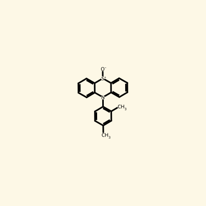 Cc1ccc(N2c3ccccc3[S+]([O-])c3ccccc32)c(C)c1